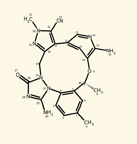 Cc1ccc2c(c1)[C@@H](C)Oc1cc(cnc1N)-c1c(nn(C)c1C#N)Cn1c(=O)nc(N)n1-2